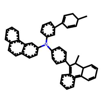 CC1C=CC(c2cccc(N(c3ccc(C4=c5ccccc5=C5C=CC=CC5C4C)cc3)c3ccc4ccc5ccccc5c4c3)c2)=CC1